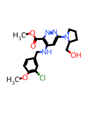 COC(=O)c1nnc(N2CCCC2CO)cc1NCc1ccc(OC)c(Cl)c1